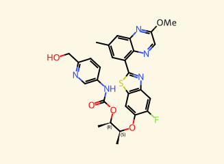 COc1cnc2c(-c3nc4cc(F)c(O[C@@H](C)[C@@H](C)OC(=O)Nc5ccc(CO)nc5)cc4s3)cc(C)cc2n1